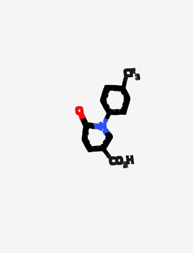 O=C(O)c1ccc(=O)n(-c2ccc(C(F)(F)F)cc2)c1